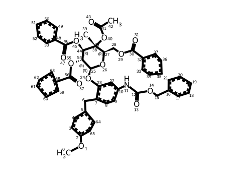 COc1ccc(Cc2ccc(NC(=O)OCc3ccccc3)cc2O[C@@H]2O[C@H](COC(=O)c3ccccc3)[C@@](C)(OC(C)=O)[C@H](OC(=O)c3ccccc3)[C@H]2OC(=O)c2ccccc2)cc1